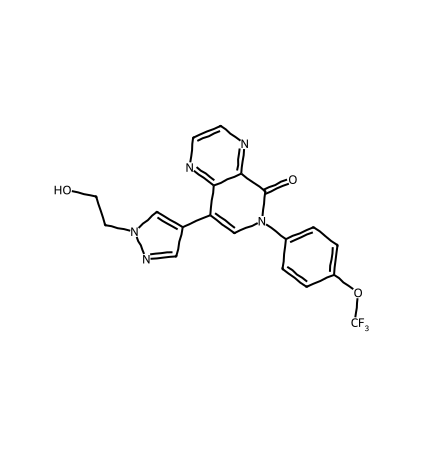 O=c1c2nccnc2c(-c2cnn(CCO)c2)cn1-c1ccc(OC(F)(F)F)cc1